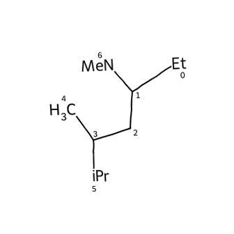 CCC(CC(C)C(C)C)NC